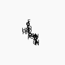 Cc1nnc(-c2cn3ncnc(Oc4ccc(NC(=O)NC(=O)Cc5ccc(F)cc5)cc4F)c3c2C)o1